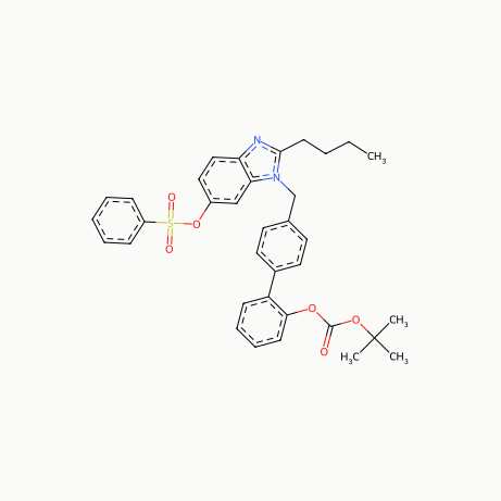 CCCCc1nc2ccc(OS(=O)(=O)c3ccccc3)cc2n1Cc1ccc(-c2ccccc2OC(=O)OC(C)(C)C)cc1